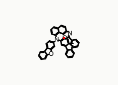 c1ccc(-c2nc3ccc4cccc(N(c5ccc6c(c5)oc5ccccc56)c5ccc6sc7ccccc7c6c5)c4c3o2)cc1